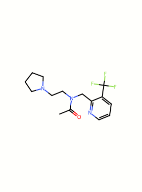 CC(=O)N(CCN1CCCC1)Cc1ncccc1C(F)(F)F